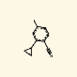 Cc1ccc(C#N)c(C2CC2)c1